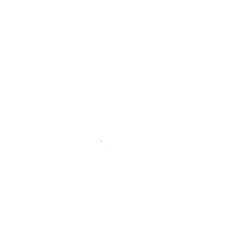 CCCCCCCCCCCCCCNCC(C)NCC(C)N